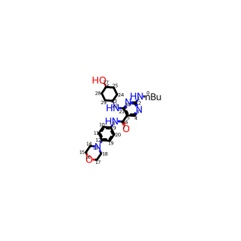 CCCCNc1ncc(C(=O)Nc2ccc(N3CCOCC3)cc2)c(N[C@H]2CC[C@H](O)CC2)n1